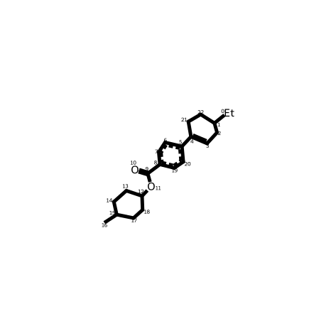 CCC1CC=C(c2ccc(C(=O)OC3CCC(C)CC3)cc2)CC1